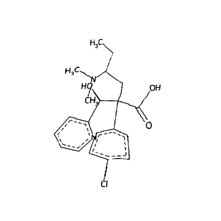 CCC(CC(C(=O)O)(c1ccc(Cl)cc1)C(O)c1ccccn1)N(C)C